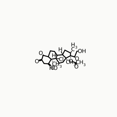 CC(=O)O[C@@]1(C(=O)CO)[C@H](C)C[C@H]2[C@@H]3CCC4C(=O)C(=O)CC(=O)[C@]4(C)[C@@]3(Cl)[C@@H](O)C[C@@]21C